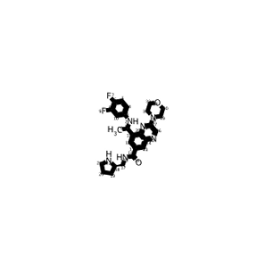 CC(Nc1ccc(F)c(F)c1)c1cc(C(=O)NC[C@H]2CCCN2)cc2ncc(N3CCOCC3)nc12